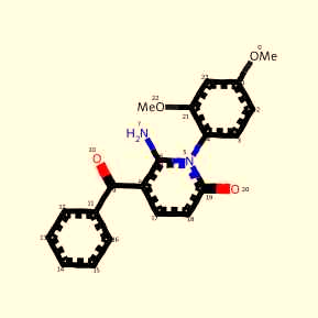 COc1ccc(-n2c(N)c(C(=O)c3ccccc3)ccc2=O)c(OC)c1